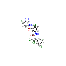 Nc1cc(NC(=O)c2cc(NC(=O)C3C(c4cc(Cl)cc(Cl)c4)C3(Cl)Cl)ccc2Cl)ccc1F